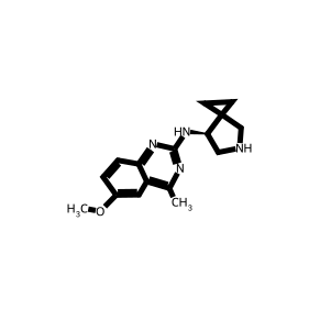 COc1ccc2nc(N[C@@H]3CNCC34CC4)nc(C)c2c1